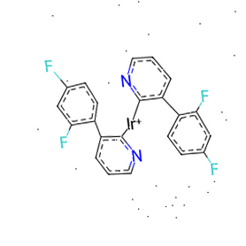 Fc1ccc(-c2cccn[c]2[Ir+][c]2ncccc2-c2ccc(F)cc2F)c(F)c1